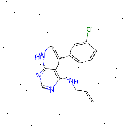 C=CCNc1ncnc2[nH]cc(-c3cccc(Cl)c3)c12